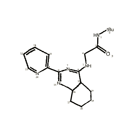 CC(C)(C)NC(=O)CNC1=NC(c2ccccn2)=NC2CCCCC12